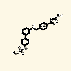 CC(C)(C)c1nc(C23CCC(CNc4cccc(-c5ccc(NS(C)(=O)=O)cc5)c4)(CC2)CC3)no1